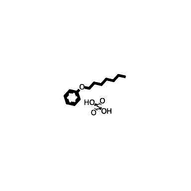 CCCCCCCOc1ccccc1.O=S(=O)(O)O